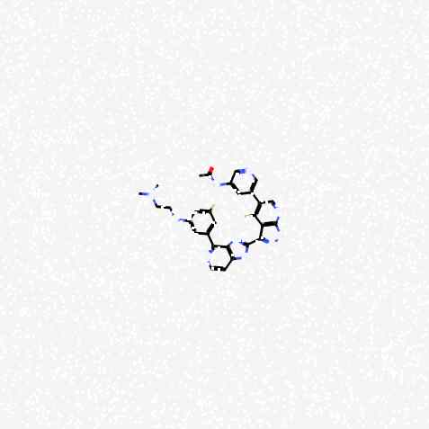 CCC(=O)Nc1cncc(-c2cnc3[nH]nc(-c4nc5c(-c6cc(F)cc(NCCN(C)C)c6)nccc5[nH]4)c3c2F)c1